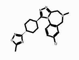 Cc1nc([C@H]2CC[C@H](c3nnc4n3-c3ccc(Cl)cc3CN(C)C4)CC2)no1